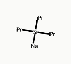 CC(C)[Si]([Na])(C(C)C)C(C)C